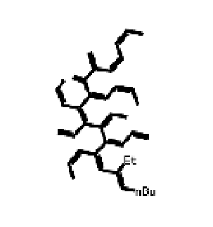 C=CC=C(C(/C=C\C)=C\C(=C\CCCC)CC)C(=C\C)/C(C=C)=C(/C=C\C)C(=C\C=C/C)\C(=C)C(=C)/C=C\C=C/C